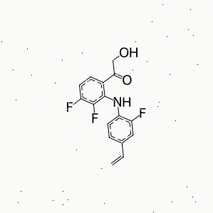 C=Cc1ccc(Nc2c(C(=O)CO)ccc(F)c2F)c(F)c1